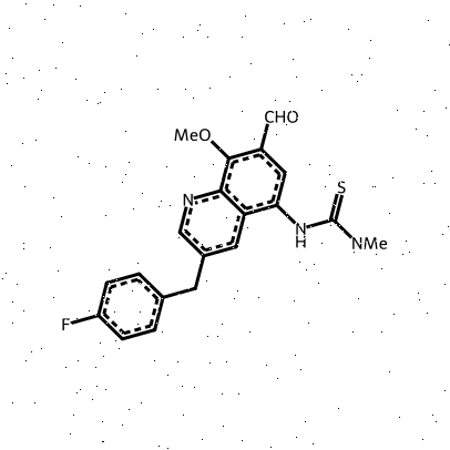 CNC(=S)Nc1cc(C=O)c(OC)c2ncc(Cc3ccc(F)cc3)cc12